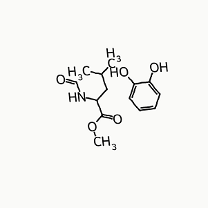 COC(=O)C(CC(C)C)NC=O.Oc1ccccc1O